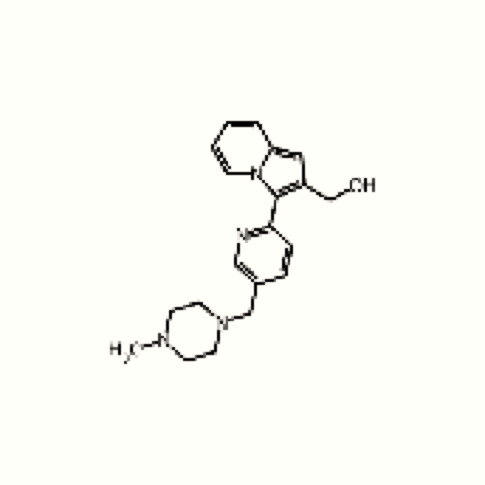 CN1CCN(Cc2ccc(-c3c(CO)cc4ccccn34)nc2)CC1